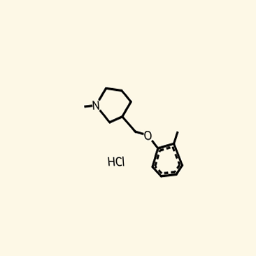 Cc1ccccc1OCC1CCCN(C)C1.Cl